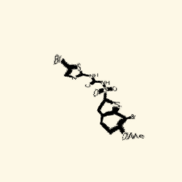 COc1ccc2cc(S(=O)(=O)NC(=O)Nc3ncc(Br)s3)sc2c1Br